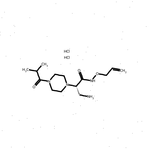 C=CCONC(=O)[C@H](CN)N1CCN(C(=O)C(C)C)CC1.Cl.Cl